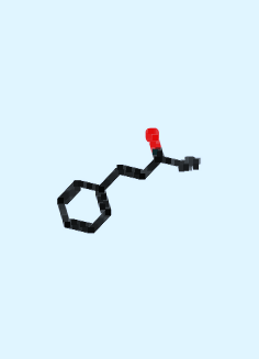 [CH2]CCC(=O)C=Cc1ccccc1